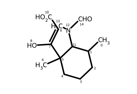 CC1CCCC(C)(C(O)=CC(=O)O)C1N(C)C=O